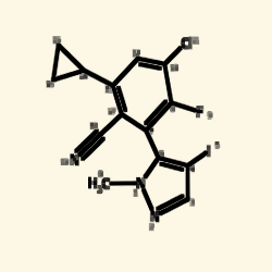 Cn1ncc(I)c1-c1c(F)c(Cl)cc(C2CC2)c1C#N